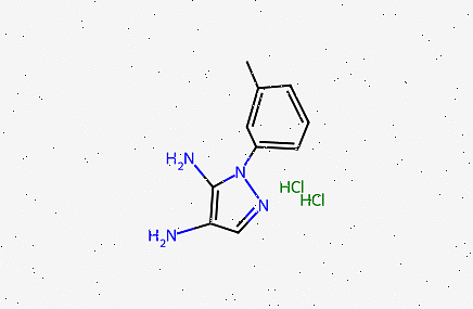 Cc1cccc(-n2ncc(N)c2N)c1.Cl.Cl